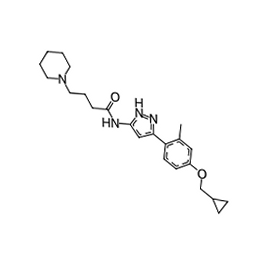 Cc1cc(OCC2CC2)ccc1-c1cc(NC(=O)CCCN2CCCCC2)[nH]n1